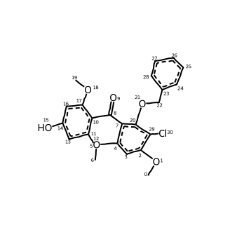 COc1cc(OC)c(C(=O)c2c(C)cc(O)cc2OC)c(OCc2ccccc2)c1Cl